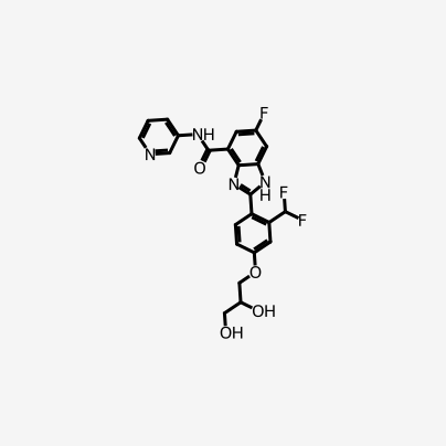 O=C(Nc1cccnc1)c1cc(F)cc2[nH]c(-c3ccc(OCC(O)CO)cc3C(F)F)nc12